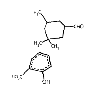 CC1CC(C=O)CC(C)(C)C1.O=C(O)c1ccccc1O